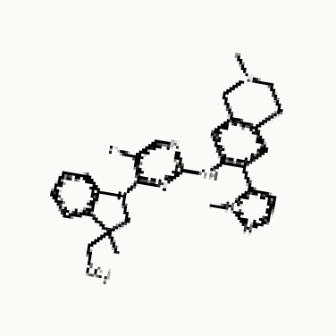 CN1CCc2cc(-c3ccnn3C)c(Nc3ncc(Cl)c(N4CC(C)(CC(=O)O)c5ccccc54)n3)cc2C1